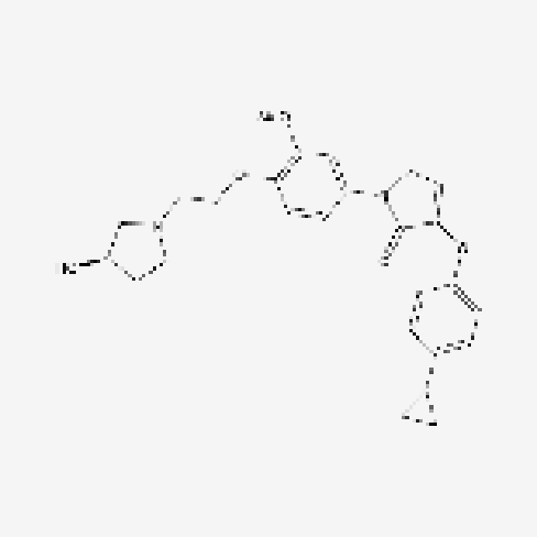 COc1cc(N2CC=C(Oc3ccc(C4CC4)cc3)C2=O)ccc1OCCN1CC[C@@H](O)C1